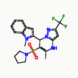 CC1=C(S(=O)(=O)N2CCCC2)C(c2cc3ccccc3n2C)n2nc(C(F)(F)F)cc2N1